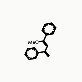 C=C(C=C(OC)c1ccccc1)c1ccccc1